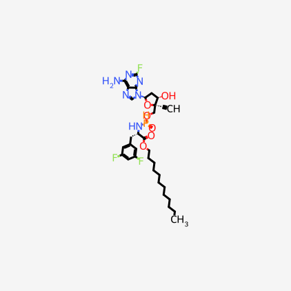 C#C[C@]1(CO[PH](=O)N[C@@H](Cc2cc(F)cc(F)c2)C(=O)OCCCCCCCCCCCC)O[C@@H](n2cnc3c(N)nc(F)nc32)C[C@@H]1O